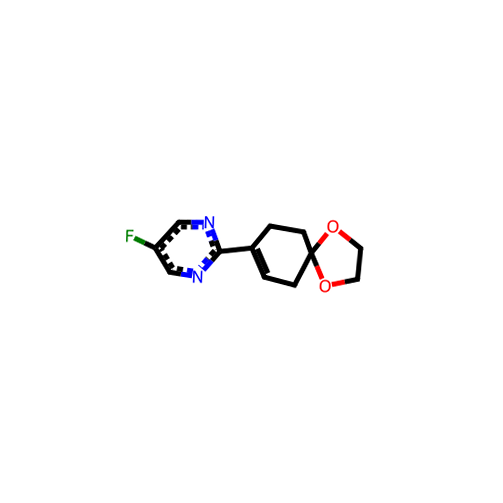 Fc1cnc(C2=CCC3(CC2)OCCO3)nc1